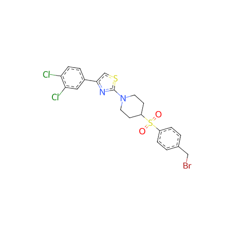 O=S(=O)(c1ccc(CBr)cc1)C1CCN(c2nc(-c3ccc(Cl)c(Cl)c3)cs2)CC1